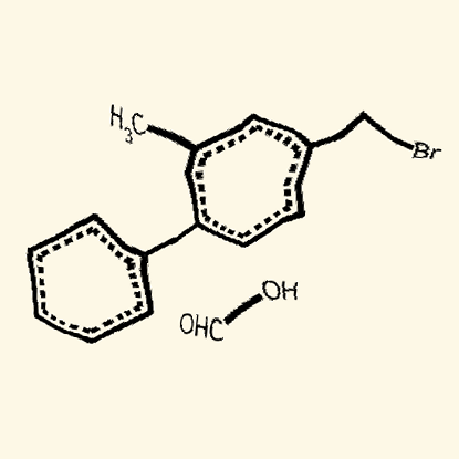 Cc1cc(CBr)ccc1-c1ccccc1.O=CO